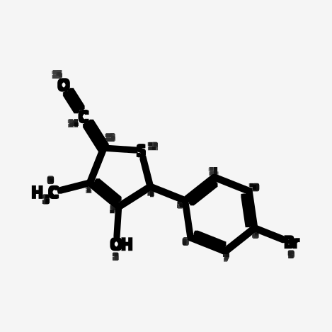 CC1=C(O)C(c2ccc(Br)cc2)SC1=C=O